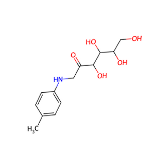 Cc1ccc(NCC(=O)C(O)C(O)C(O)CO)cc1